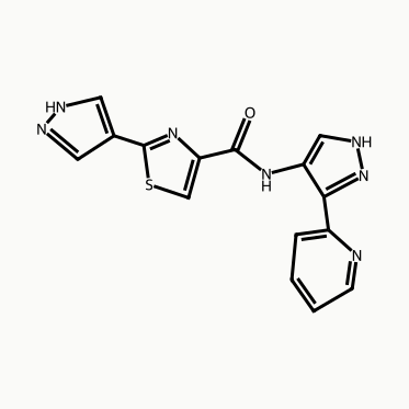 O=C(Nc1c[nH]nc1-c1ccccn1)c1csc(-c2cn[nH]c2)n1